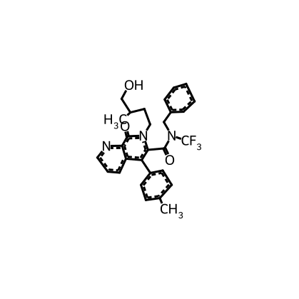 Cc1ccc(-c2c(C(=O)N(Cc3ccccc3)C(F)(F)F)n(CCC(C)CO)c(=O)c3ncccc23)cc1